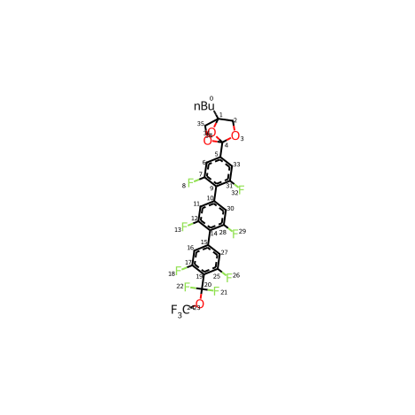 CCCCC12COC(c3cc(F)c(-c4cc(F)c(-c5cc(F)c(C(F)(F)OC(F)(F)F)c(F)c5)c(F)c4)c(F)c3)(OC1)O2